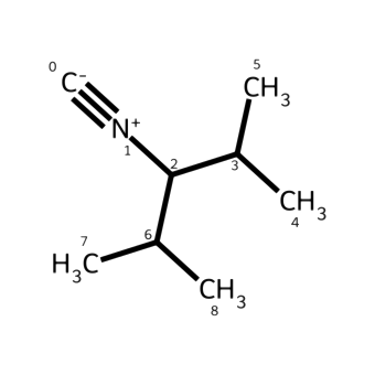 [C-]#[N+]C(C(C)C)C(C)C